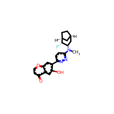 CN(c1ccc(-c2cc3occc(=O)c3cc2O)nn1)[C@H]1C[C@@H]2CC[C@@H](C2)[C@H]1F